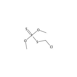 COP(=S)(OC)SCCl